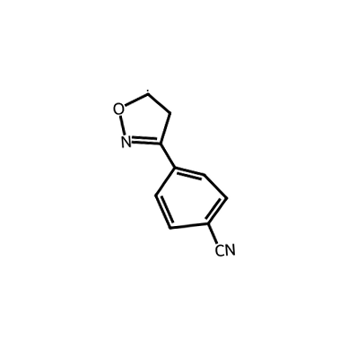 N#Cc1ccc(C2=NO[CH]C2)cc1